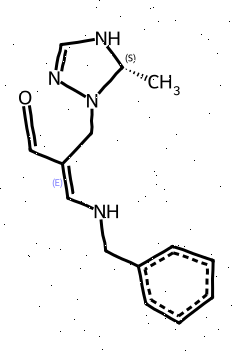 C[C@H]1NC=NN1C/C(C=O)=C\NCc1ccccc1